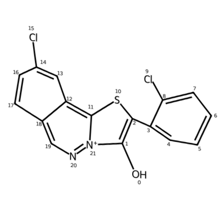 Oc1c(-c2ccccc2Cl)sc2c3cc(Cl)ccc3cn[n+]12